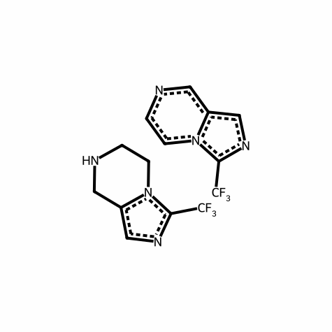 FC(F)(F)c1ncc2cnccn12.FC(F)(F)c1ncc2n1CCNC2